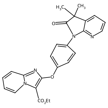 CCOC(=O)c1c(Oc2ccc(N3C(=O)C(C)(C)c4cccnc43)cc2)nc2ccccn12